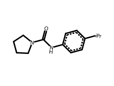 CC(C)c1ccc(NC(=O)N2CCCC2)cc1